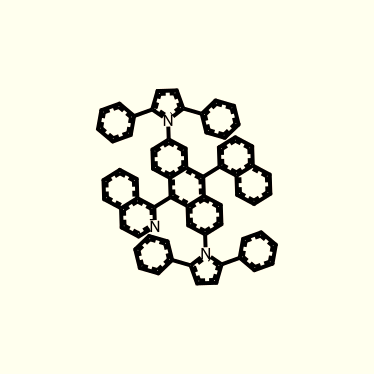 c1ccc(-c2ccc(-c3ccccc3)n2-c2ccc3c(-c4nccc5ccccc45)c4cc(-n5c(-c6ccccc6)ccc5-c5ccccc5)ccc4c(-c4cccc5ccccc45)c3c2)cc1